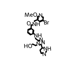 COc1ncc(Br)cc1CNC(=O)c1cccc(NCc2nnc(C3CC=NCN3)n2CCO)c1